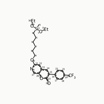 CCO[Si](C)(CCCCCCOc1cc2cc(-c3ccc(C(F)(F)F)cc3)c(=O)oc2cn1)OCC